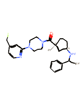 CCC(N[C@@H]1CC[C@@](C(=O)N2CCN(c3cc(CF)ccn3)CC2)(C(C)C)C1)c1ccccc1